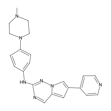 CN1CCN(c2ccc(Nc3ncc4cc(-c5ccncc5)cn4n3)cc2)CC1